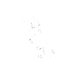 Cc1nc2cnccc2n1-c1ccc(Cn2c(=O)sc3ccccc32)cn1